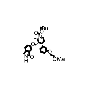 COCCOc1cccc([C@@H]2CCN(C(=O)OC(C)(C)C)[C@H](C)[C@H]2COc2ccc3c(c2)C(=O)NC3)c1